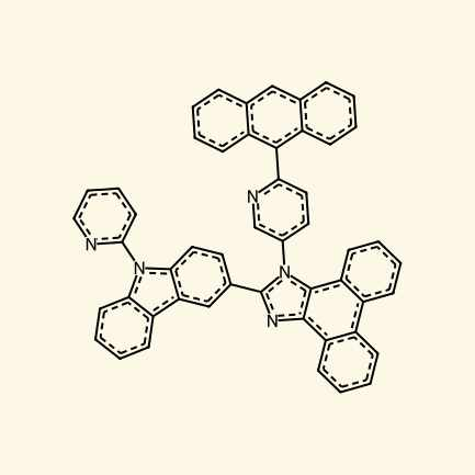 c1ccc(-n2c3ccccc3c3cc(-c4nc5c6ccccc6c6ccccc6c5n4-c4ccc(-c5c6ccccc6cc6ccccc56)nc4)ccc32)nc1